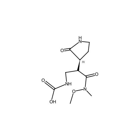 CON(C)C(=O)C(CNC(=O)O)[C@@H]1CCNC1=O